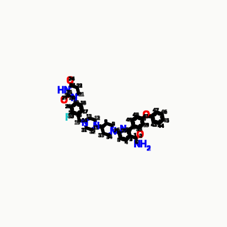 NC(=O)c1ccc(N2CCC(N3CCN(Cc4ccc(N5CCC(=O)NC5=O)cc4F)CC3)CC2)nc1-c1ccc(Oc2ccccc2)cc1